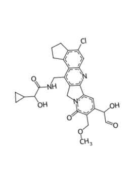 COCc1c(C(O)C=O)cc2n(c1=O)Cc1c-2nc2cc(Cl)c3c(c2c1CNC(=O)C(O)C1CC1)CCC3